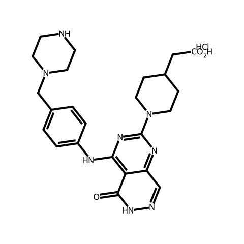 Cl.O=C(O)CC1CCN(c2nc(Nc3ccc(CN4CCNCC4)cc3)c3c(=O)[nH]ncc3n2)CC1